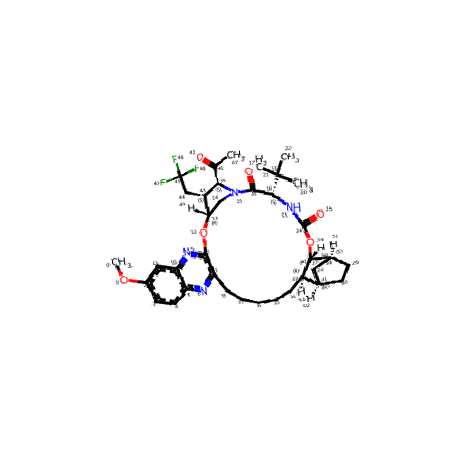 COc1ccc2nc3c(nc2c1)O[C@H]1CN(C(=O)[C@H](C(C)(C)C)NC(=O)O[C@@H]2[C@H]4CC[C@H](C4)[C@H]2CCCCC3)[C@H](C(C)=O)[C@@H]1CC(F)(F)F